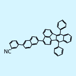 N#Cc1cccc(-c2ccc3cc(-c4ccc5c6c(cccc46)-c4c-5c(-c5ccccc5)c5ccccc5c4-c4ccccc4)ccc3c2)c1